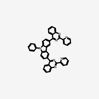 c1ccc(-n2c3ccc(-c4nc(-c5ccccn5)nc5ccccc45)cc3c3cc(-c4nc(-c5ccccn5)nc5ccccc45)ccc32)cc1